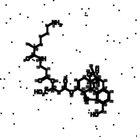 C[C@@H](CCCCN)C(=O)NCCC(=O)O[C@@H](CC(=O)OC1=CC[C@@]2(O)[C@H]3Cc4ccc(CO)c5c4[C@@]2(CCN3C)[C@H]1O5)C(=O)O